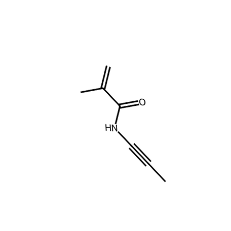 C=C(C)C(=O)NC#CC